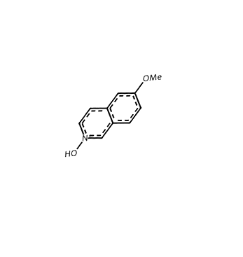 COc1ccc2c[n+](O)ccc2c1